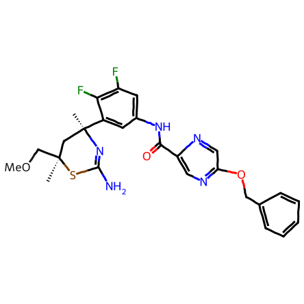 COC[C@@]1(C)C[C@@](C)(c2cc(NC(=O)c3cnc(OCc4ccccc4)cn3)cc(F)c2F)N=C(N)S1